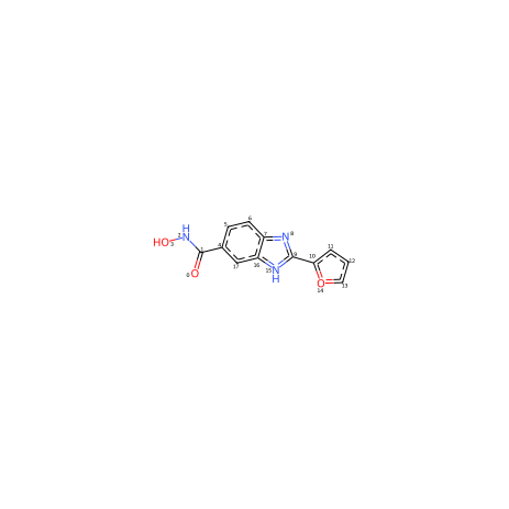 O=C(NO)c1ccc2nc(-c3ccco3)[nH]c2c1